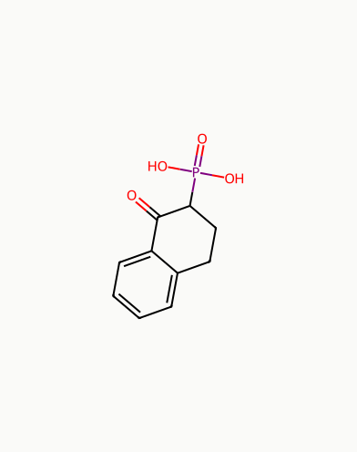 O=C1c2ccccc2CCC1P(=O)(O)O